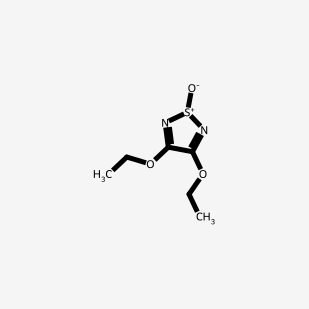 CCOc1n[s+]([O-])nc1OCC